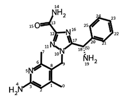 Cc1cc(N)nc(C)c1Cn1nc(C(N)=O)nc1[C@@H](N)c1ccccc1